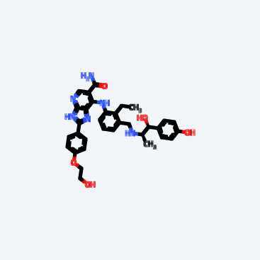 CCc1c(CN[C@H](C)[C@@H](O)c2ccc(O)cc2)cccc1Nc1c(C(N)=O)cnc2[nH]c(-c3ccc(OCCO)cc3)nc12